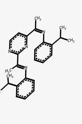 CC(=Nc1ccccc1C(C)C)c1ccnc(C(C)=Nc2ccccc2C(C)C)n1